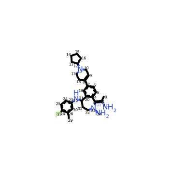 C/C(N)=C1\c2ccc(C3=CCN(C4CCCC4)CC3)cc2C(Nc2ccc(F)c(C)c2)CCN1N